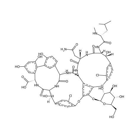 CN[C@H](CC(C)C)C(=O)N[C@H]1C(=O)N[C@@H](CC(N)=O)C(=O)N[C@H]2C(=O)N[C@H]3C(=O)N[C@H](C(=O)N[C@H](C(=O)O)c4cc(O)cc(O)c4-c4cc3ccc4O)[C@H](O)c3ccc(c(Cl)c3)Oc3cc2cc(c3O[C@@H]2O[C@H](CO)[C@@H](O)[C@H](O)[C@H]2O)Oc2ccc(cc2Cl)[C@H]1O